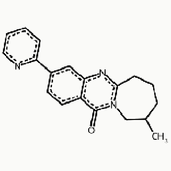 CC1CCCc2nc3cc(-c4ccccn4)ccc3c(=O)n2C1